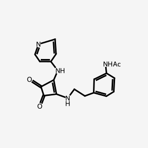 CC(=O)Nc1cccc(CCNc2c(Nc3ccncc3)c(=O)c2=O)c1